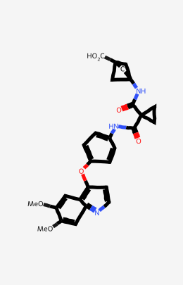 COc1cc2nccc(Oc3ccc(NC(=O)C4(C(=O)NC56CC(C(=O)O)(C5)C6)CC4)cc3)c2cc1OC